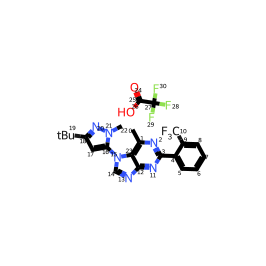 Cc1nc(-c2ccccc2C(F)(F)F)nc2ncn(-c3cc(C(C)(C)C)nn3C)c12.O=C(O)C(F)(F)F